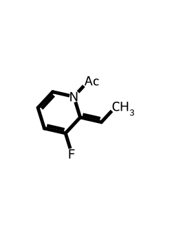 C/C=C1/C(F)=CC=CN1C(C)=O